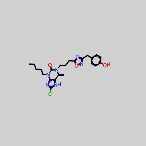 C=C1c2[nH]c(Cl)nc2N(CCCCC)C(=O)N1CCCc1nc(Cc2ccc(O)cc2)no1